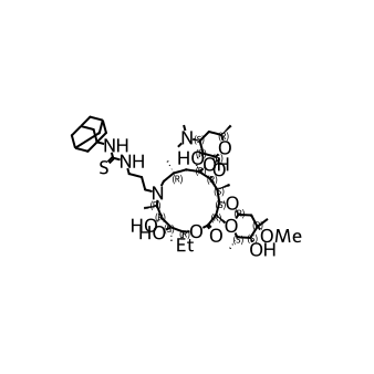 CC[C@H]1OC(=O)[C@H](C)[C@@H](O[C@H]2C[C@@](C)(OC)[C@@H](O)[C@H](C)O2)[C@H](C)[C@@H](O[C@@H]2O[C@H](C)C[C@H](N(C)C)[C@H]2O)[C@](C)(O)C[C@@H](C)CN(CCCNC(=S)NC23CC4CC(CC(C4)C2)C3)[C@H](C)[C@@H](O)[C@]1(C)O